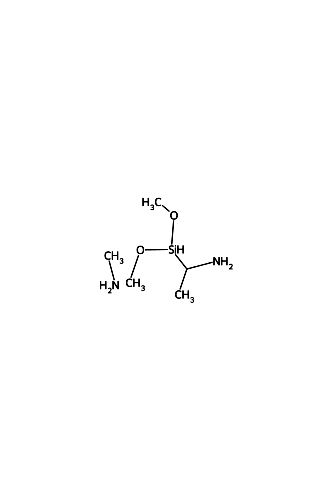 CN.CO[SiH](OC)C(C)N